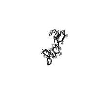 CC(C)c1nccc(N2CCC(Cn3ncccc3=O)CC2)n1